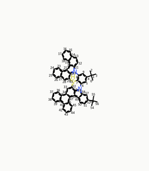 CC(C)(C)c1cc2c3c(c1)-n1c4ccc5ccccc5c4c4c5ccccc5cc(c41)[SH]3c1cc3c4ccccc4c4ccccc4c3c3c4ccc(C(C)(C)C)cc4n-2c13